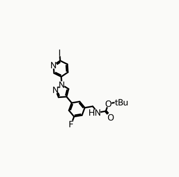 CC(C)(C)OC(=O)NCc1cc(F)cc(-c2cnn(-c3ccc(I)nc3)c2)c1